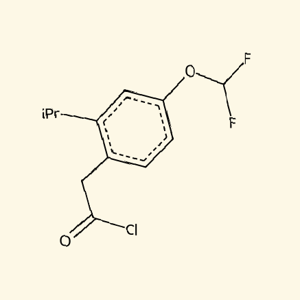 CC(C)c1cc(OC(F)F)ccc1CC(=O)Cl